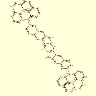 c1ccc(N(c2ccc3cc4c(cc3c2)oc2cc3c(cc24)oc2cc4cc(N(c5ccccc5)c5cccc6ccc7ccccc7c56)ccc4cc23)c2cccc3ccc4ccccc4c23)cc1